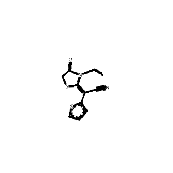 CCN1C(=O)CSC1=C(C#N)c1cccs1